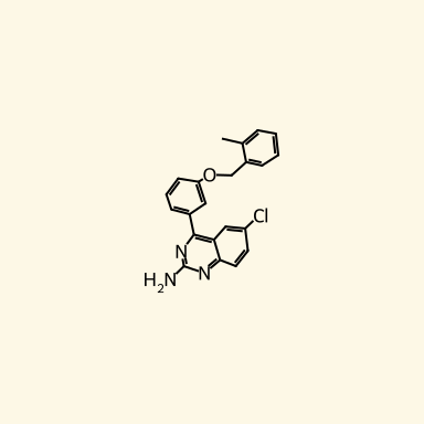 Cc1ccccc1COc1cccc(-c2nc(N)nc3ccc(Cl)cc23)c1